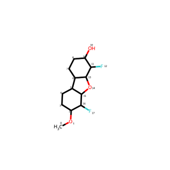 COC1CCC2C3CCC(O)C(F)C3OC2C1F